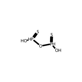 O[PH](=S)O[PH](O)=S